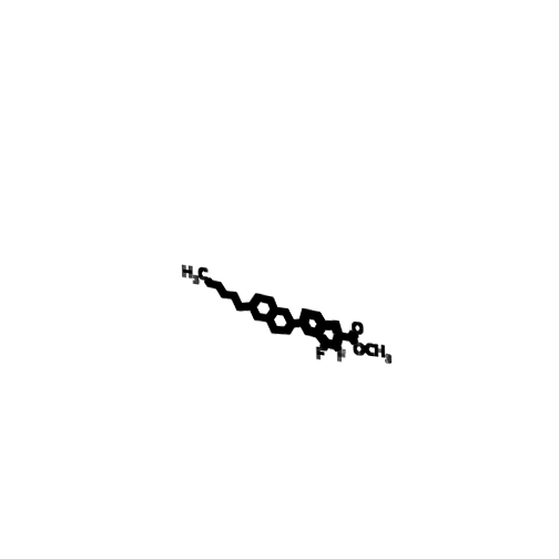 CCCCCCC1CCC2CC(c3ccc4cc(C(=O)OC)c(F)c(F)c4c3)CCC2C1